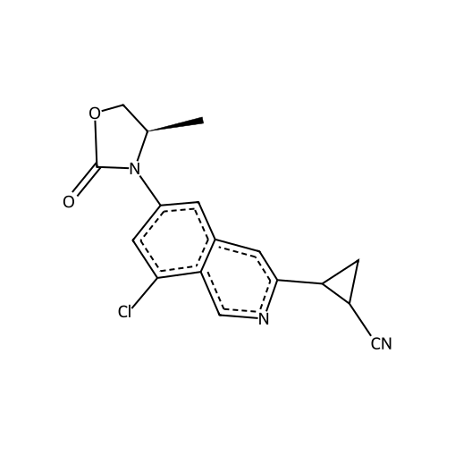 C[C@@H]1COC(=O)N1c1cc(Cl)c2cnc(C3CC3C#N)cc2c1